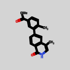 COC(=O)c1ccc(C)c(-c2ccc3c(=O)[nH]cc(C)c3c2)c1